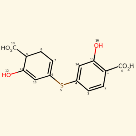 O=C(O)c1ccc(SC2=CCC(C(=O)O)C(O)=C2)cc1O